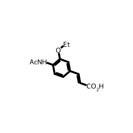 CCOc1cc(C=CC(=O)O)ccc1NC(C)=O